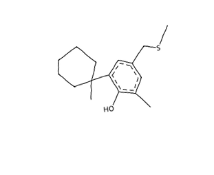 CSCc1cc(C)c(O)c(C2(C)CCCCC2)c1